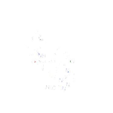 Cc1nnc2n1-c1sc3c(c1C(c1ccccc1Cl)=NC21CC1)C[C@H](C(=O)N[C@H]1CCc2ccccc21)C3